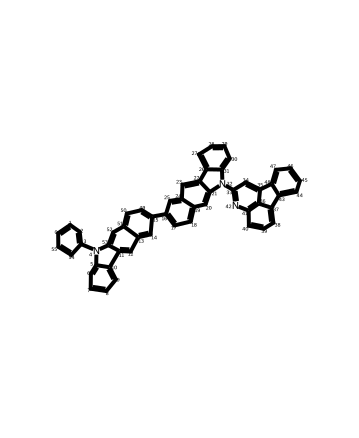 c1ccc(-n2c3ccccc3c3cc4cc(-c5ccc6cc7c(cc6c5)c5ccccc5n7-c5cc6c7c(cccc7n5)-c5ccccc5-6)ccc4cc32)cc1